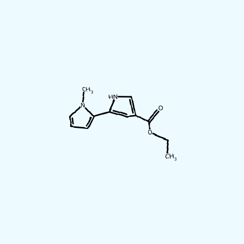 CCOC(=O)c1c[nH]c(-c2cccn2C)c1